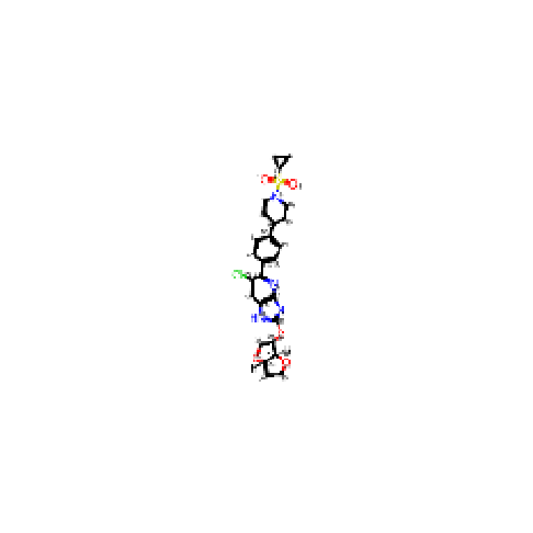 O=S(=O)(C1CC1)N1CCC(c2ccc(-c3nc4nc(OC5CO[C@@H]6CCO[C@H]56)[nH]c4cc3Cl)cc2)CC1